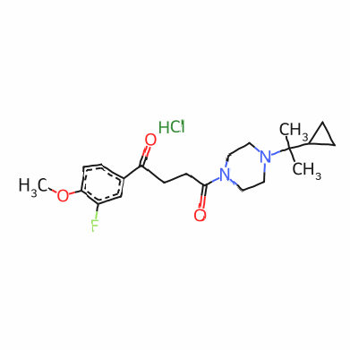 COc1ccc(C(=O)CCC(=O)N2CCN(C(C)(C)C3CC3)CC2)cc1F.Cl